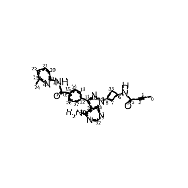 CC#CC(=O)N[C@H]1C[C@@H](n2nc(-c3ccc(C(=O)Nc4cccc(C)n4)cc3)c3c(N)ncnc32)C1